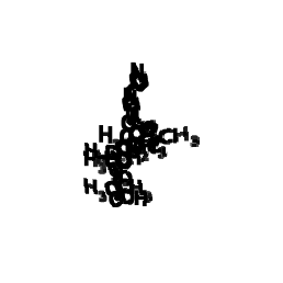 C=C(C)[C@@H]1CC[C@]2(CC(=O)N3CCN(Cc4cccnc4)CC3)CC[C@]3(C)[C@H](CC[C@@H]4[C@@]5(C)CC[C@H](OC(=O)CC(C)(C)C(=O)O)C(C)(C)C5CC[C@]43C)[C@@H]12